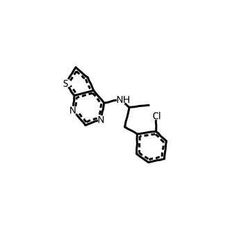 CC(Cc1ccccc1Cl)Nc1ncnc2sccc12